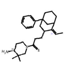 C/C=C1\C2CCCC(c3ccccc3)(C2)CC1CCC(=S)N1CC[C@H](N)C(C)(C)C1